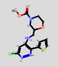 CC(C)(C)OC(=O)N1CCOC(CNc2cc(Cl)nnc2-c2cccs2)C1